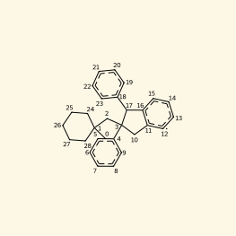 CC1(CC2(c3ccccc3)Cc3[c]cccc3C2c2ccccc2)CCCCC1